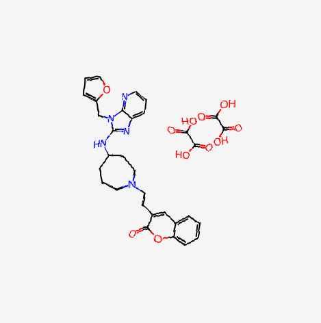 O=C(O)C(=O)O.O=C(O)C(=O)O.O=c1oc2ccccc2cc1CCN1CCCC(Nc2nc3cccnc3n2Cc2ccco2)CC1